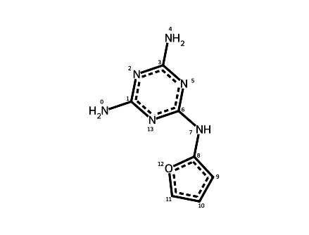 Nc1nc(N)nc(Nc2ccco2)n1